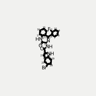 O=C(N[C@H]1N=C(c2ccccc2F)c2ccccc2NC1=O)c1cc2cc(Br)ccc2[nH]1